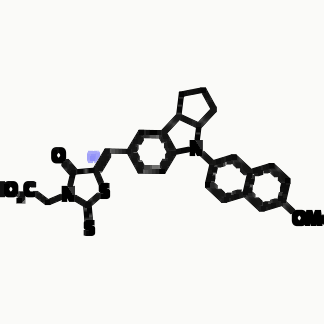 COc1ccc2cc(N3c4ccc(/C=C5\SC(=S)N(CC(=O)O)C5=O)cc4C4CCCC43)ccc2c1